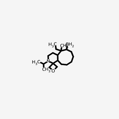 BC1CCCCCC2C(CCN(C(C)C)C23COC3)C1(C)CC